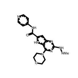 CNNc1nc(N2CCOCC2)c2[nH]c(C(=O)Nc3ccncc3)cc2n1